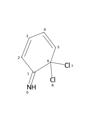 N=C1C=CC=CC1(Cl)Cl